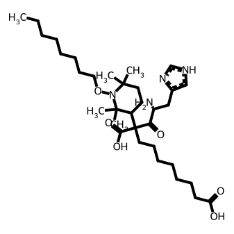 CCCCCCCCON1C(C)(C)CCC(C(CCCCCCCC(=O)O)(C(=O)O)C(=O)[C@@H](N)Cc2c[nH]cn2)C1(C)C